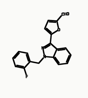 O=Cc1ccc(-c2nn(Cc3ccccc3F)c3ccccc23)o1